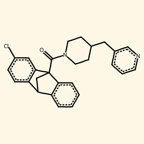 O=C(N1CCC(Cc2cccnc2)CC1)C12CC(c3ccccc31)c1ccc(Cl)cc12